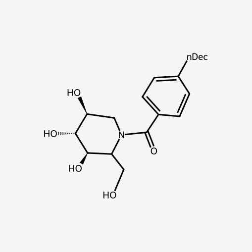 CCCCCCCCCCc1ccc(C(=O)N2C[C@H](O)[C@@H](O)[C@H](O)C2CO)cc1